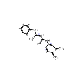 C=C/C=C\C(=C/C=C)NC(=O)/N=C(\N)Nc1ccccc1